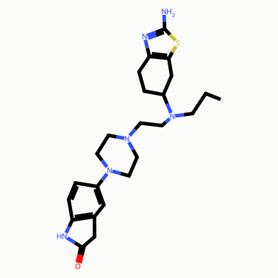 CCCN(CCN1CCN(c2ccc3c(c2)CC(=O)N3)CC1)C1CCc2nc(N)sc2C1